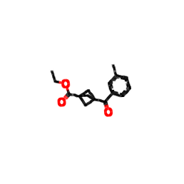 CCOC(=O)C12CC(C(=O)c3cccc(C)c3)(C1)C2